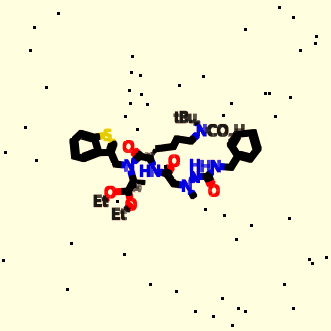 CCOC(OCC)[C@H](C)N(Cc1csc2ccccc12)C(=O)[C@H](CCCCN(C(=O)O)C(C)(C)C)NC(=O)CN(C)NC(=O)NCc1ccccc1